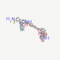 NC(=S)c1cccc(-c2cn(C3CCC(F)(F)CC3)c3cc(NC(=O)CCOCCCCCCOc4cccc5c4C(=O)N(C4CCC(=O)NC4=O)C5=O)ccc23)c1